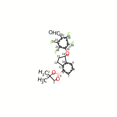 CC1(C)COB(c2cccc3c2CCC3Oc2c(F)c(F)c(C=O)c(F)c2F)O1